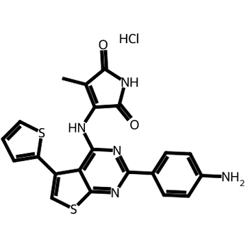 CC1=C(Nc2nc(-c3ccc(N)cc3)nc3scc(-c4cccs4)c23)C(=O)NC1=O.Cl